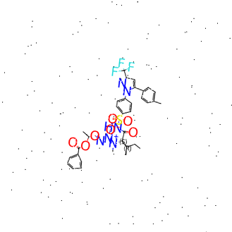 CC[C@@H](C)[C@@H](C(=O)NS(=O)(=O)c1ccc(-n2nc(C(F)(F)F)cc2-c2ccc(C)cc2)cc1)N(C)[N+]([O-])=NOC(C)OC(=O)c1ccccc1